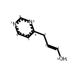 OC=CCc1ccncn1